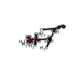 C=CC(=O)OCC(COCC(COC(=O)C=C)(COC(=O)C=C)COC(=O)CCCCCCCNC(=O)N(CCCCCCNC(=O)OC(CCCCCCCCCCCC)COc1ccc([I+]c2ccccc2)cc1)C(=O)NCCCCCC)(COC(=O)C=C)COC(=O)C=C